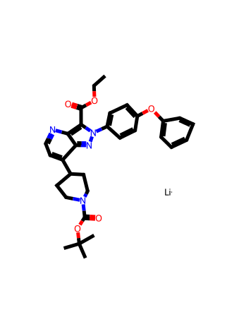 CCOC(=O)c1c2nccc(C3CCN(C(=O)OC(C)(C)C)CC3)c2nn1-c1ccc(Oc2ccccc2)cc1.[Li]